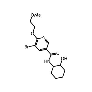 COCCOc1ncc(C(=O)NC2CCCCC2O)cc1Br